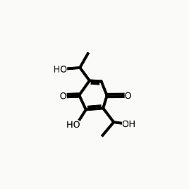 CC(O)C1=CC(=O)C(C(C)O)=C(O)C1=O